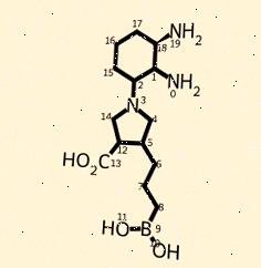 NC1C(N2CC(CCCB(O)O)C(C(=O)O)C2)CCC[C@H]1N